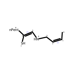 C/C=C\CN/C=C(\S)CCCCC